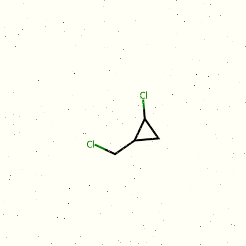 ClCC1CC1Cl